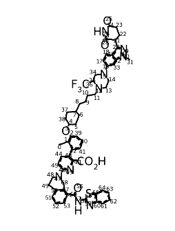 Cc1c(OC2CCC(CCCCN3CCN(c4ccc5c(C6CCC(=O)NC6=O)nn(C)c5c4)CC3C(F)(F)F)CC2)cccc1-c1ccc(N2CCc3cccc(C(=O)Nc4nc5ccccc5s4)c3C2)nc1C(=O)O